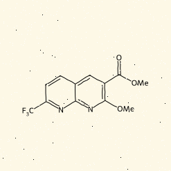 COC(=O)c1cc2ccc(C(F)(F)F)nc2nc1OC